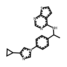 CC(Nc1ncnc2sccc12)c1ccc(-n2cnc(C3CC3)c2)cc1